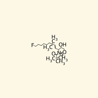 CC(C)(/C=C/C1C(O)COSN1C(=O)C(C)(C)C)CCCCCCF